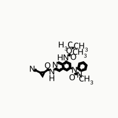 Cn1c(=O)n(-c2cc(NC(=O)OC(C)(C)C)c3cnc(NC(=O)C4CC4C#N)cc3c2)c2ccccc21